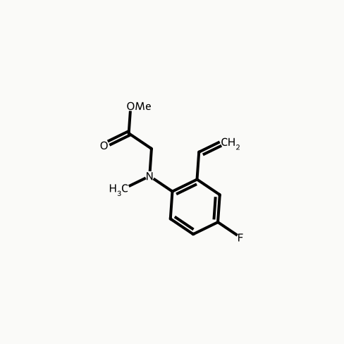 C=Cc1cc(F)ccc1N(C)CC(=O)OC